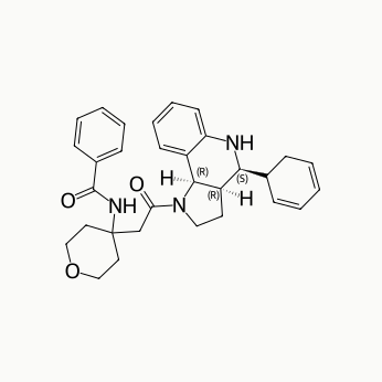 O=C(NC1(CC(=O)N2CC[C@@H]3[C@H](C4C=CC=CC4)Nc4ccccc4[C@@H]32)CCOCC1)c1ccccc1